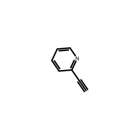 [C]#Cc1[c]cccn1